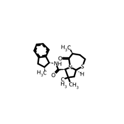 C[C@@H]1Cc2ccccc2[C@@H]1NC(=O)[C@H]1N2C(=O)[C@@H](C)CCS[C@H]2CC1(C)C